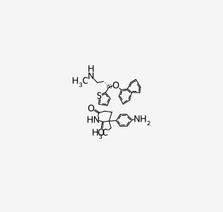 CCC1(c2ccc(N)cc2)CCC(=O)NC1=O.CNCC[C@H](Oc1cccc2ccccc12)c1cccs1